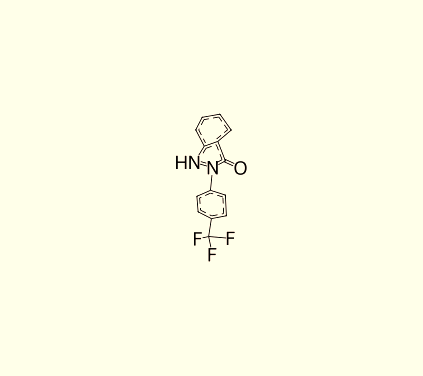 O=c1c2ccccc2[nH]n1-c1ccc(C(F)(F)F)cc1